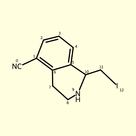 N#Cc1cccc2c1CCNC2CI